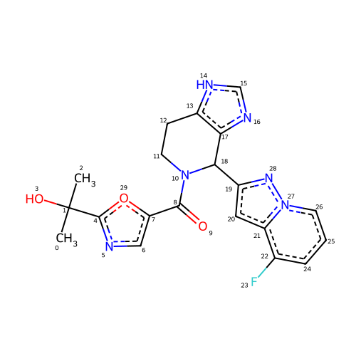 CC(C)(O)c1ncc(C(=O)N2CCc3[nH]cnc3C2c2cc3c(F)cccn3n2)o1